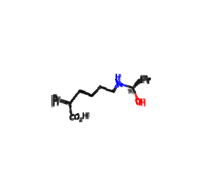 CC(C)C(CCCCN[C@H](O)C(C)C)C(=O)O